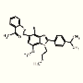 COCCn1c(-c2ccc(C(C)C)cc2)nc2c(Br)c(COc3ccccc3C(C)=O)cc(OC)c21